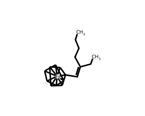 CCCCC(=C[C]12[CH]3[CH]4[CH]5[CH]1[Fe]45321678[CH]2[CH]1[CH]6[CH]7[CH]28)CC